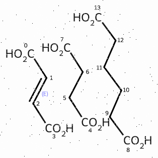 O=C(O)/C=C/C(=O)O.O=C(O)CCC(=O)O.O=C(O)CCCCC(=O)O